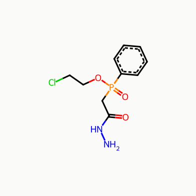 NNC(=O)CP(=O)(OCCCl)c1ccccc1